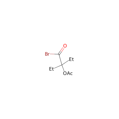 CCC(CC)(OC(C)=O)C(=O)Br